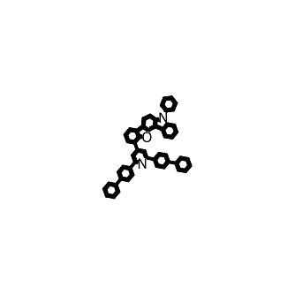 c1ccc(-c2ccc(-c3cc(-c4cccc5c4oc4c5ccc5c4c4ccccc4n5-c4ccccc4)cc(-c4ccc(-c5ccccc5)cc4)n3)cc2)cc1